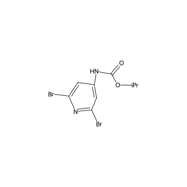 CC(C)OC(=O)Nc1cc(Br)nc(Br)c1